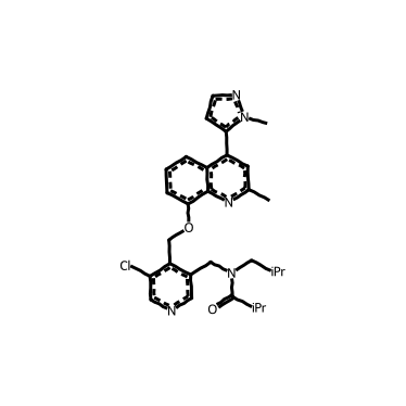 Cc1cc(-c2ccnn2C)c2cccc(OCc3c(Cl)cncc3CN(CC(C)C)C(=O)C(C)C)c2n1